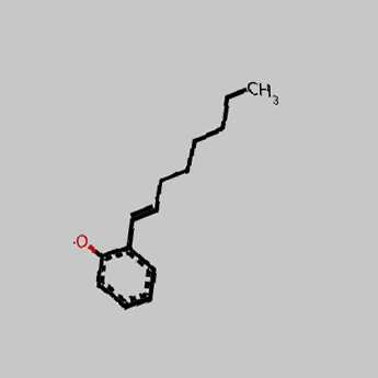 CCCCCC/C=C/c1ccccc1[O]